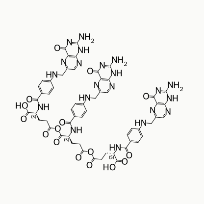 Nc1nc(=O)c2nc(CNc3ccc(C(=O)N[C@@H](CCC(=O)OC(=O)CC[C@H](NC(=O)c4ccc(NCc5cnc6[nH]c(N)nc(=O)c6n5)cc4)C(=O)OC(=O)CC[C@H](NC(=O)c4ccc(NCc5cnc6[nH]c(N)nc(=O)c6n5)cc4)C(=O)O)C(=O)O)cc3)cnc2[nH]1